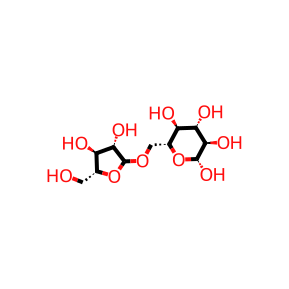 OC[C@H]1OC(OC[C@H]2O[C@@H](O)[C@H](O)[C@@H](O)[C@@H]2O)[C@@H](O)[C@@H]1O